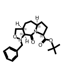 CC(C)(C)OC(=O)[C@@H]1CC[C@@H]2CC[C@@H]3CON(Cc4ccccc4)[C@@H]3C(=O)N21